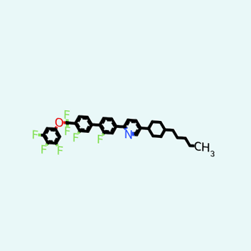 CCCCCC1CCC(c2ccc(-c3ccc(-c4ccc(C(F)(F)Oc5cc(F)c(F)c(F)c5)c(F)c4)c(F)c3)nc2)CC1